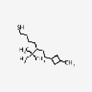 CC1CC(CCC(CCCCS)C(C)(C)C)C1